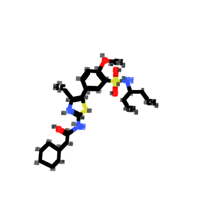 CCC(CC)NS(=O)(=O)c1cc(-c2sc(NC(=O)CC3CCCCC3)nc2C)ccc1OC